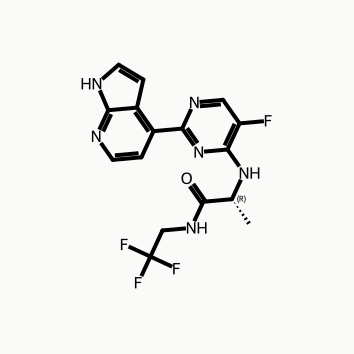 C[C@@H](Nc1nc(-c2ccnc3[nH]ccc23)ncc1F)C(=O)NCC(F)(F)F